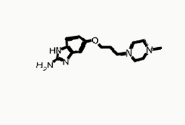 CN1CCN(CCCOc2ccc3[nH]c(N)nc3c2)CC1